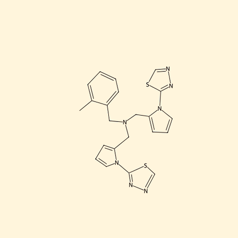 Cc1ccccc1CN(Cc1cccn1-c1nncs1)Cc1cccn1-c1nncs1